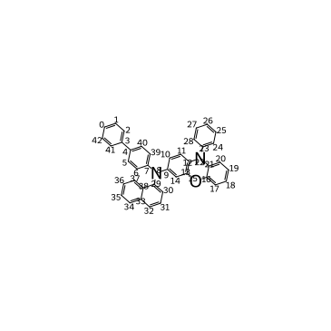 c1ccc(-c2ccc(N(c3ccc4c(c3)Oc3ccccc3N4c3ccccc3)c3cccc4ccccc34)cc2)cc1